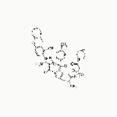 Cc1ccc(S(=O)(=O)n2c(C(=O)c3cnn(-c4ccc(Oc5ccccc5F)cc4C)c3N)cc3cc(C)c(NS(=O)(=O)CC(=O)N4CCOCC4)cc32)cc1